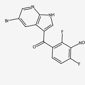 O=C(c1ccc(F)c([N+](=O)[O-])c1F)c1c[nH]c2ncc(Br)cc12